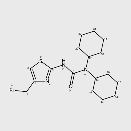 O=C(Nc1nc(CBr)cs1)N(C1CCCCC1)C1CCCCC1